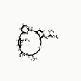 CC1CCOCc2cc(ccc2OC(C)C)Nc2nccc(n2)-c2ccc(cc2N)C(=O)NC1